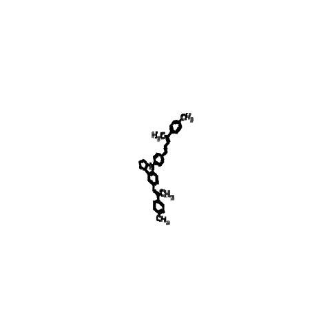 C/C(=C\C=C\c1ccc(N2c3ccc(/C=C(\C)c4ccc(C)cc4)cc3C3CCCC32)cc1)c1ccc(C)cc1